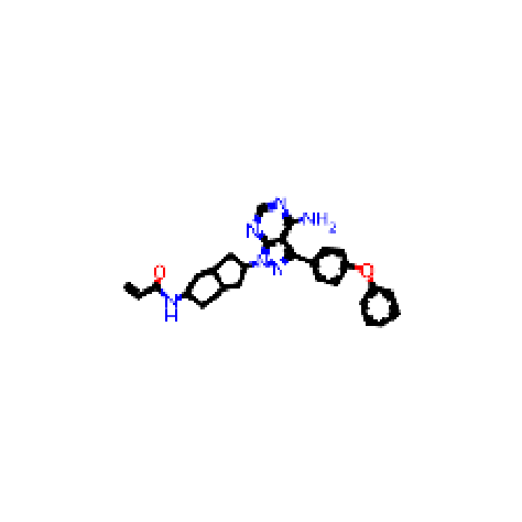 C=CC(=O)NC1CC2CC(n3nc(-c4ccc(Oc5ccccc5)cc4)c4c(N)ncnc43)CC2C1